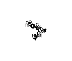 COC(=O)Nc1ccc(-c2cc([C@H](CC(=O)NCC(C)C)NC(=O)OC(C)(C)C)nnc2Cl)cc1